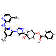 Cc1cc(Nc2cc(C(C)(C)C)ccn2)nc(-n2cnc([C@]3(O)CC[C@@H](OC(=O)c4ccccc4)CC3)c2)c1